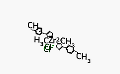 CCc1ccc(C2=CC[C]([Zr+2][C]3=C(C)C(c4ccc(CC)cc4)=CC3)=C2C)cc1.[Cl-].[Cl-]